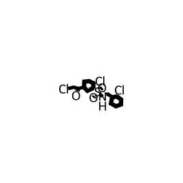 O=C(CCl)c1ccc(Cl)c(S(=O)(=O)NCc2ccccc2Cl)c1